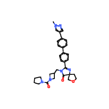 Cn1cc(-c2ccc(-c3ccc(C4=NC5(CCOC5)C(=O)N4CC4CN(C(=O)N5CCCC5)C4)cc3)cc2)cn1